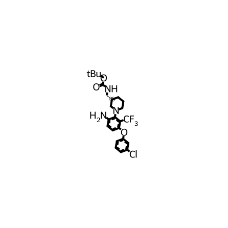 CC(C)(C)OC(=O)NC[C@@H]1CCCN(c2c(N)ccc(Oc3cccc(Cl)c3)c2C(F)(F)F)C1